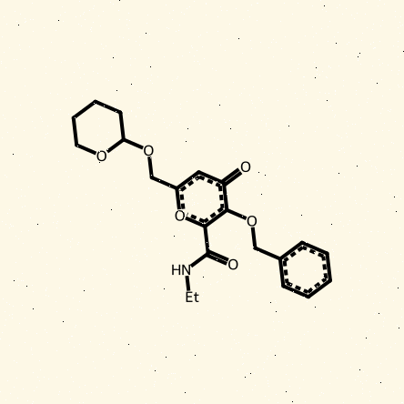 CCNC(=O)c1oc(COC2CCCCO2)cc(=O)c1OCc1ccccc1